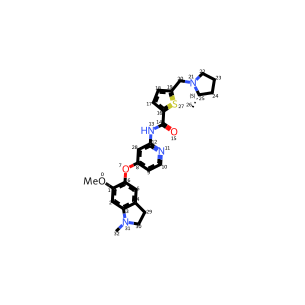 COc1cc2c(cc1Oc1ccnc(NC(=O)c3ccc(CN4CCC[C@@H]4C)s3)c1)CCN2C